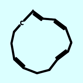 [C]1=C/C=C\C/C=C/CC/C=C\CCC/1